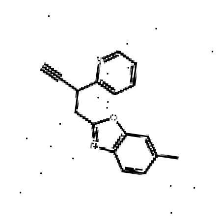 C#CC(Cc1nc2ccc(C)cc2o1)c1ccccn1